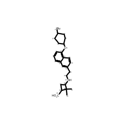 CC(C)(C)C1CCC(Oc2cccc3cc(CCNC4CC(C(=O)O)C4(C)C)ccc23)CC1